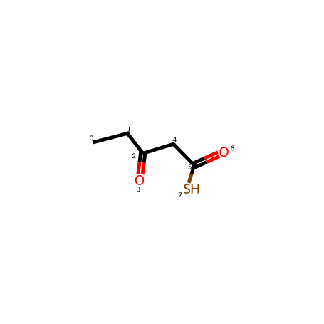 CCC(=O)CC(=O)S